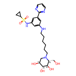 O=S(=O)(Nc1cc(NCCCCCCN2C[C@H](O)[C@@H](O)[C@H](O)[C@H]2CO)cc(-c2ncccn2)c1)C1CC1